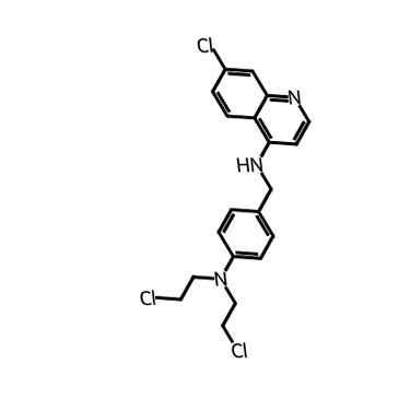 ClCCN(CCCl)c1ccc(CNc2ccnc3cc(Cl)ccc23)cc1